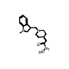 CN1CC(CN2CCC(=CC(=O)NO)CC2)c2ccccc21